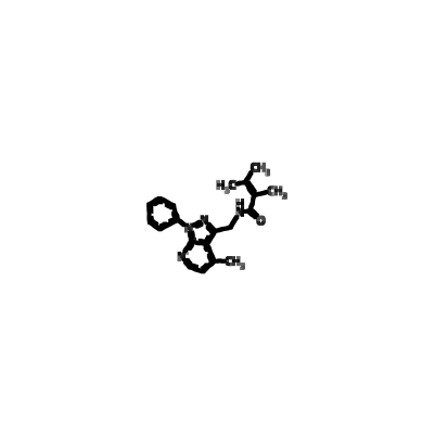 CC(C)=C(C)C(=O)NCc1nn(-c2ccccc2)c2nccc(C)c12